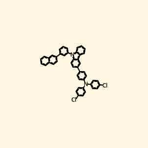 Clc1ccc(N(c2ccc(Cl)cc2)c2ccc(-c3ccc4c(c3)c3ccccc3n4-c3cccc(-c4ccc5ccccc5c4)c3)cc2)cc1